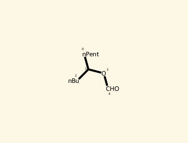 CCCCCC(CCCC)OC=O